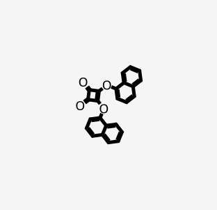 O=c1c(Oc2cccc3ccccc23)c(Oc2cccc3ccccc23)c1=O